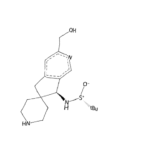 CC(C)(C)[S@@+]([O-])N[C@@H]1c2cnc(CO)cc2CC12CCNCC2